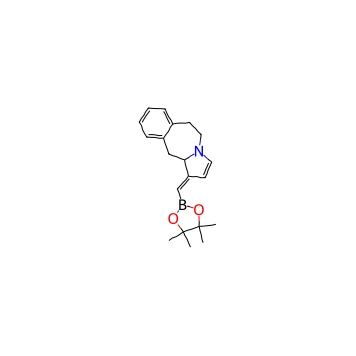 CC1(C)OB(/C=C2\C=CN3CCc4ccccc4CC23)OC1(C)C